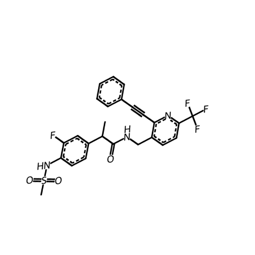 CC(C(=O)NCc1ccc(C(F)(F)F)nc1C#Cc1ccccc1)c1ccc(NS(C)(=O)=O)c(F)c1